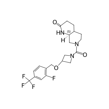 O=C1CCC2CCN(C(=O)N3CC(OCc4ccc(C(F)(F)F)cc4F)C3)C[C@H]2N1